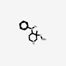 CCCCOC1(C)CNCCC1N(C(C)=O)c1ccccc1